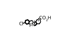 O=C(O)N1CCc2cnn(Cc3ccc(Cl)cc3F)c2C1